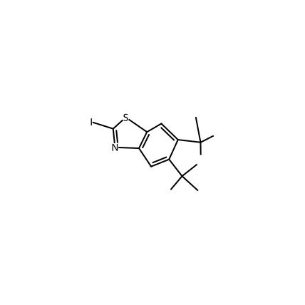 CC(C)(C)c1cc2nc(I)sc2cc1C(C)(C)C